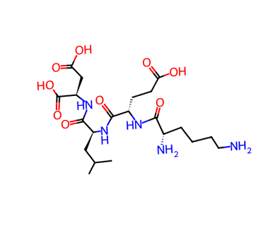 CC(C)C[C@H](NC(=O)[C@H](CCC(=O)O)NC(=O)[C@@H](N)CCCCN)C(=O)N[C@H](CC(=O)O)C(=O)O